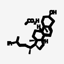 CC(=O)O.CC(C)[C@@H](C)C=C[C@@H](C)[C@H]1CC[C@H]2C3=CC=C4C[C@@H](O)CC[C@]4(C)[C@H]3CC[C@]12C